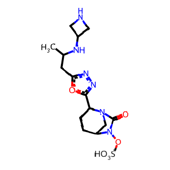 CC(Cc1nnc(C2CCC3CN2C(=O)N3OS(=O)(=O)O)o1)NC1CNC1